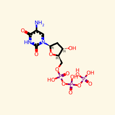 Nc1cn([C@H]2C[C@H](O)[C@@H](COP(=O)(O)OP(=O)(O)OP(=O)(O)O)O2)c(=O)[nH]c1=O